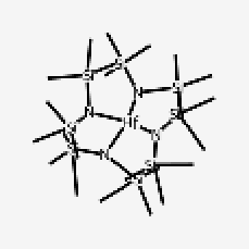 C[Si](C)(C)[N]([Si](C)(C)C)[Hf]([N]([Si](C)(C)C)[Si](C)(C)C)([N]([Si](C)(C)C)[Si](C)(C)C)[N]([Si](C)(C)C)[Si](C)(C)C